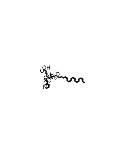 CC/C=C\C/C=C\C/C=C\C/C=C\C/C=C\CCCC(=O)OCC(C)(C)[C@@H](OC(=O)c1cccnc1)C(=O)NCCC(=O)O